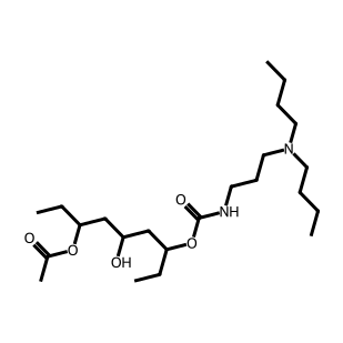 CCCCN(CCCC)CCCNC(=O)OC(CC)CC(O)CC(CC)OC(C)=O